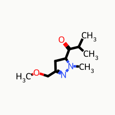 COCC1=NN(C)C(C(=O)C(C)C)C1